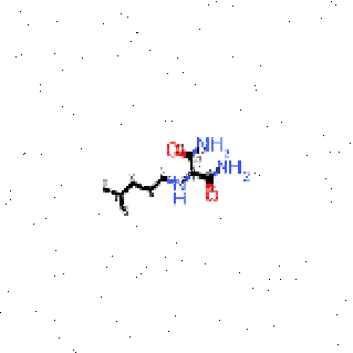 CC(C)CCCNC(C(N)=O)C(N)=O